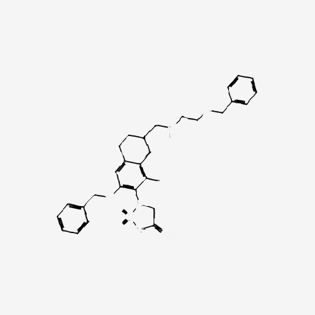 O=C1CN(c2c(OCc3ccccc3)cc3c(c2F)CC(CNCCOCc2ccccc2)CC3)S(=O)(=O)N1